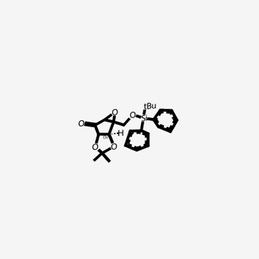 CC1(C)OC2C(=O)C3OC3(CO[Si](c3ccccc3)(c3ccccc3)C(C)(C)C)[C@H]2O1